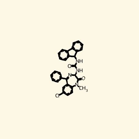 CN1C(=O)C(NC(=O)NC2c3ccccc3-c3ccccc32)N=C(c2ccccc2)c2cc(Cl)ccc21